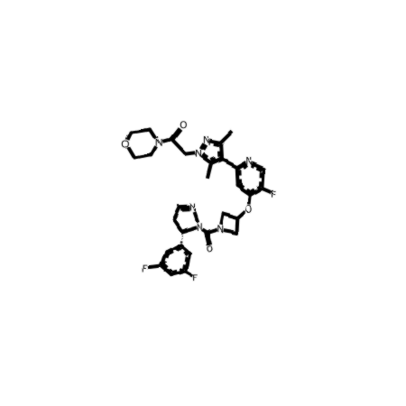 Cc1nn(CC(=O)N2CCOCC2)c(C)c1-c1cc(OC2CN(C(=O)N3N=CC[C@H]3c3cc(F)cc(F)c3)C2)c(F)cn1